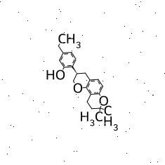 CCc1ccc([C@@H]2COc3c(ccc4c3CCC(C)(C)O4)C2)c(O)c1